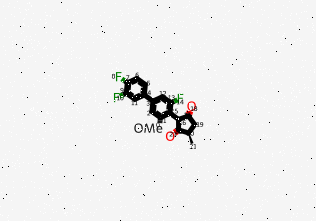 COc1cc(-c2ccc(F)c(F)c2)cc(F)c1C1C(=O)C[C@@H](C)C1=O